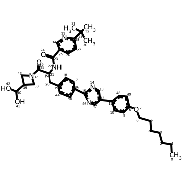 CCCCCCCOc1ccc(-c2cnc(-c3ccc(C[C@H](NC(=O)c4ccc(C(C)(C)C)nc4)C(=O)N4CC(C(O)O)C4)cc3)nc2)cc1